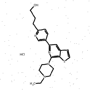 CCN1CCN(c2nc(-c3ccc(CCCO)nc3)cc3ccsc23)CC1.Cl